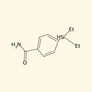 CC[SiH](CC)c1ccc(C(N)=O)cc1